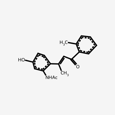 CC(=O)Nc1cc(O)ccc1/C(C)=C/C(=O)c1ccccc1C